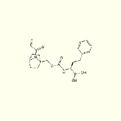 C=CC(=O)N1C2CCC1(COC(=O)N[C@@H](CCc1ccccc1)B(O)O)CC2